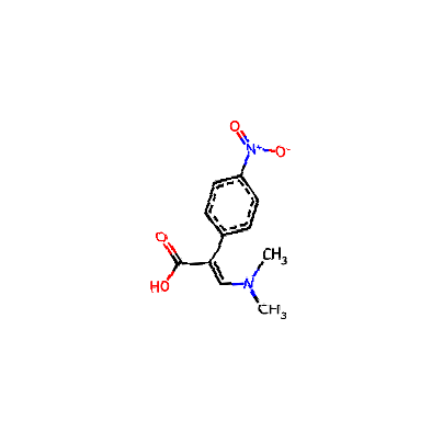 CN(C)/C=C(/C(=O)O)c1ccc([N+](=O)[O-])cc1